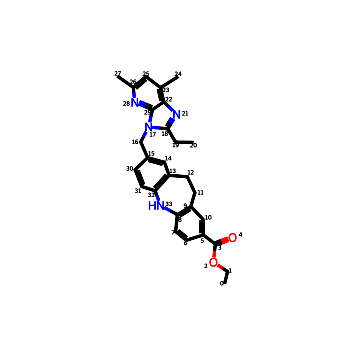 CCOC(=O)c1ccc2c(c1)CCc1cc(Cn3c(CC)nc4c(C)cc(C)nc43)ccc1N2